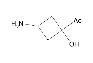 CC(=O)C1(O)CC(N)C1